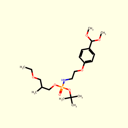 CCOCC(C)COP(=O)(NCCOc1ccc(C(OC)OC)cc1)OC(C)(C)C